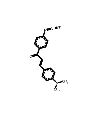 CN(C)c1ccc(/C=C/C(=O)c2ccc(N=[N+]=[N-])cc2)cc1